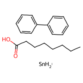 CCCCCCCC(=O)O.[SnH2].c1ccc(-c2ccccc2)cc1